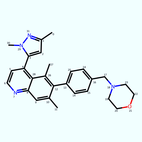 Cc1cc(-c2ccnc3cc(C)c(-c4ccc(CN5CCOCC5)cc4)c(C)c23)n(C)n1